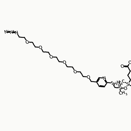 C[Si](C)(CCCC(=O)O)O[Si](C)(C)CSc1ccc(COCCOCCOCCOCCOCCOCCN=[N+]=[N-])cn1